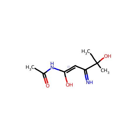 CC(=O)N/C(O)=C/C(=N)C(C)(C)O